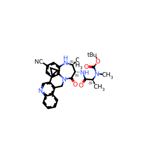 C[C@@H]1Nc2cc(C#N)ccc2N(Cc2c(C3CC3)cnc3ccccc23)C(=O)[C@H]1NC(=O)[C@H](C)N(C)C(=O)OC(C)(C)C